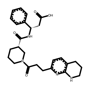 O=C(O)C[C@H](NC(=O)[C@H]1CCCN(C(=O)CCc2ccc3c(n2)NCCC3)C1)c1ccccc1